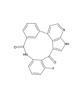 O=c1[nH]c2cccc(F)c2c(=O)c2c[nH]c3nccc(c4cccc1c4)c32